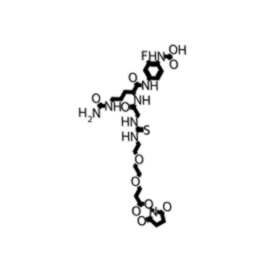 NC(=O)NCCCC(NC(=O)CNC(=S)NCCOCCOCCC(=O)ON1C(=O)CCC1=O)C(=O)Nc1ccc(NC(=O)O)c(F)c1